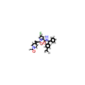 CC(=O)N1CCC2(CC1)CC2C(=O)N1C[C@H](F)C[C@H]1C(=O)N[C@@H](c1ccccc1)c1ccc(C(C)C)cc1